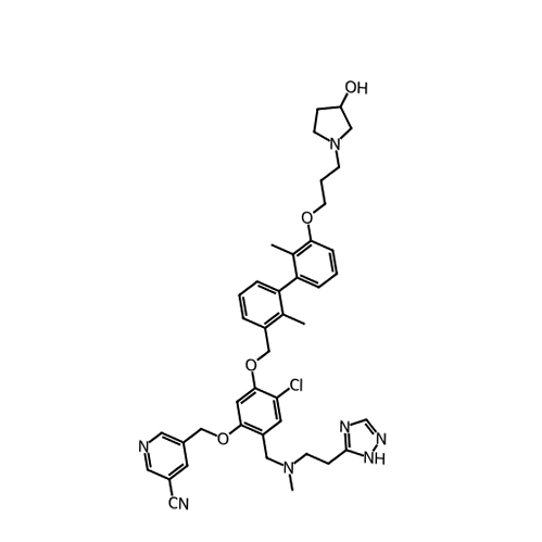 Cc1c(COc2cc(OCc3cncc(C#N)c3)c(CN(C)CCc3ncn[nH]3)cc2Cl)cccc1-c1cccc(OCCCN2CCC(O)C2)c1C